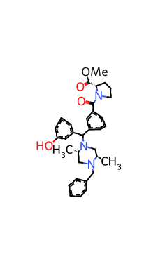 COC(=O)[C@@H]1CCCN1C(=O)c1cccc(C(c2cccc(O)c2)N2C[C@@H](C)N(Cc3ccccc3)C[C@@H]2C)c1